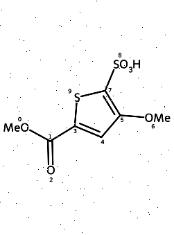 COC(=O)c1cc(OC)c(S(=O)(=O)O)s1